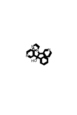 OC(c1ccccc1)(c1cccnc1)C(c1cccnc1)n1ccnn1